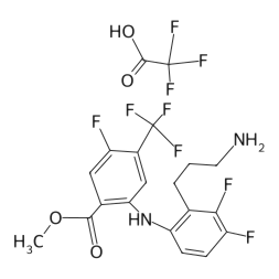 COC(=O)c1cc(F)c(C(F)(F)F)cc1Nc1ccc(F)c(F)c1CCCN.O=C(O)C(F)(F)F